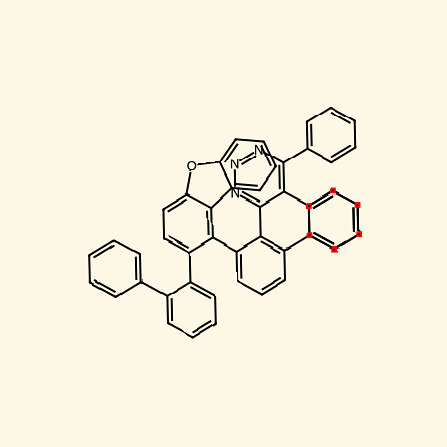 c1ccc(-c2ccccc2-c2ccc3oc4ccccc4c3c2-c2cccc(-c3ccccc3)c2-c2nnnc(-c3ccccc3)c2-c2ccccc2)cc1